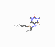 CCC/C=C(/Nc1c(C)n(C)c(=O)n(C)c1=S)SCCCC(=O)O